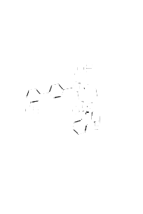 Cc1cccc(-c2ccc(C3C4CN(S(=O)(=O)c5ccccc5C(F)(F)F)CCCCN4[C@@H]3CO)cc2)c1